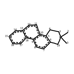 CC1(C)CCc2c(ccc3c2ccc2ccccc23)C1